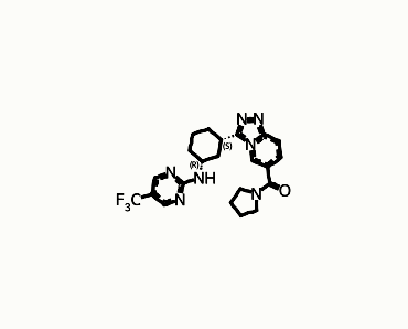 O=C(c1ccc2nnc([C@H]3CCC[C@@H](Nc4ncc(C(F)(F)F)cn4)C3)n2c1)N1CCCC1